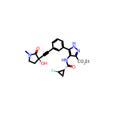 CCOC(=O)c1n[nH]c(-c2cccc(C#C[C@]3(O)CCN(C)C3=O)c2)c1NC(=O)[C@@H]1C[C@H]1F